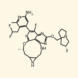 Cc1nc(N)cc(-c2nc3c4c(nc(OCC56CCCN5C[C@H](F)C6)nc4c2F)NCC2NC2C[C@H](C)O3)c1CC(F)F